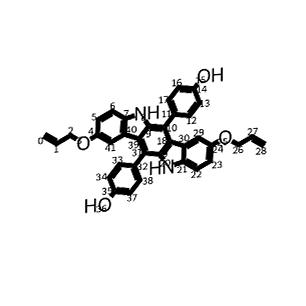 C=CCOc1ccc2[nH]c3c(-c4ccc(O)cc4)c4c([nH]c5ccc(OCC=C)cc54)c(-c4ccc(O)cc4)c3c2c1